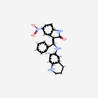 O=C1Nc2ccc([N+](=O)[O-])cc2C1=C(Nc1ccc2c(c1)CCCN2)c1ccccc1